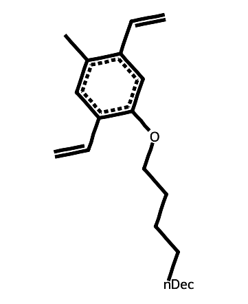 C=Cc1cc(OCCCCCCCCCCCCCC)c(C=C)cc1C